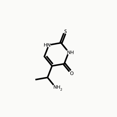 CC(N)c1c[nH]c(=S)[nH]c1=O